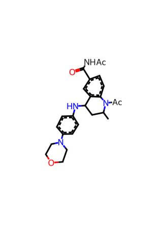 CC(=O)NC(=O)c1ccc2c(c1)C(Nc1ccc(N3CCOCC3)cc1)CC(C)N2C(C)=O